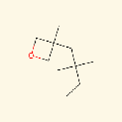 CCC(C)(C)CC1(C)COC1